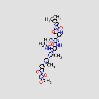 C=CC(=O)Nc1cc(Nc2nc(-c3ccnc(N4CCn5c(cc6c5CC(C)(C)C6)C4=O)c3CO)cn(C)c2=O)ccc1N1CCN(C2CCN(c3ccc4c(c3)CN(C3CCC(=O)N(C)C3=O)C4=O)[C@H](C)C2)C[C@@H]1C